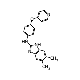 Cc1cc2nc(Nc3ccc(Oc4ccncc4)cc3)[nH]c2cc1C